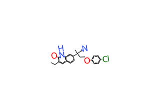 CCc1cc2ccc(C(C)(C#N)CCOc3ccc(Cl)cc3)cc2[nH]c1=O